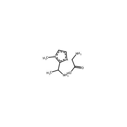 CC(N)c1nccn1C.NCC(=O)O